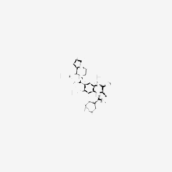 Cc1cc2c(cc1C(=O)N1CCn3cccc3C1C)[nH]c(=O)c1cnc(C3CCOCC3)n12